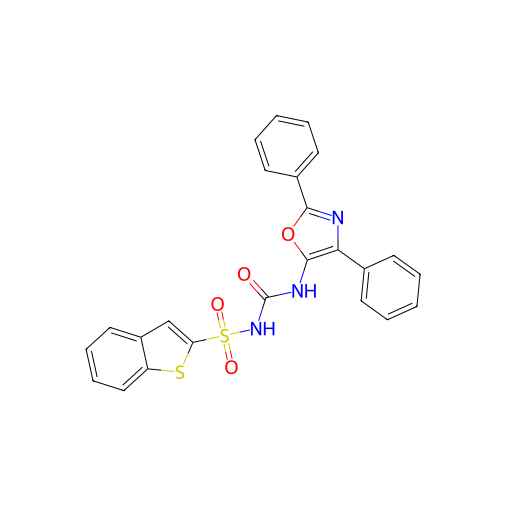 O=C(Nc1oc(-c2ccccc2)nc1-c1ccccc1)NS(=O)(=O)c1cc2ccccc2s1